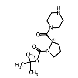 CC(C)(C)OC(=O)N1CCC[C@@H]1C(=O)N1CCNCC1